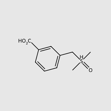 C[SH](C)(=O)Cc1cccc(C(=O)O)c1